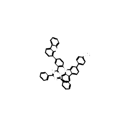 N#Cc1ccc(-c2ccc3c4ccccc4n(-c4ccc(-c5cccc6c5sc5ccccc56)cc4-c4nc(-c5ccccc5)nc(-c5ccccc5)n4)c3c2)cc1